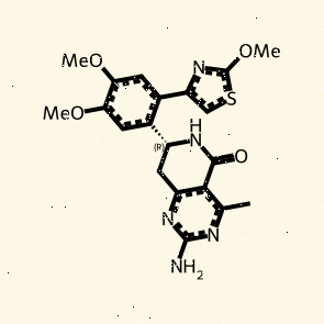 COc1nc(-c2cc(OC)c(OC)cc2[C@H]2Cc3nc(N)nc(C)c3C(=O)N2)cs1